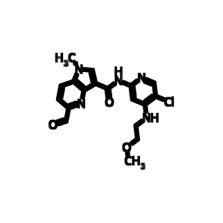 COCCNc1cc(NC(=O)c2cn(C)c3ccc(C=O)nc23)ncc1Cl